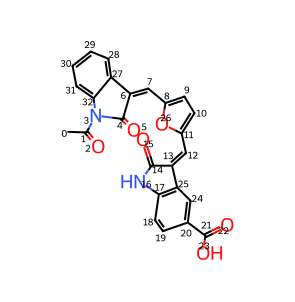 CC(=O)N1C(=O)C(=Cc2ccc(C=C3C(=O)Nc4ccc(C(=O)O)cc43)o2)c2ccccc21